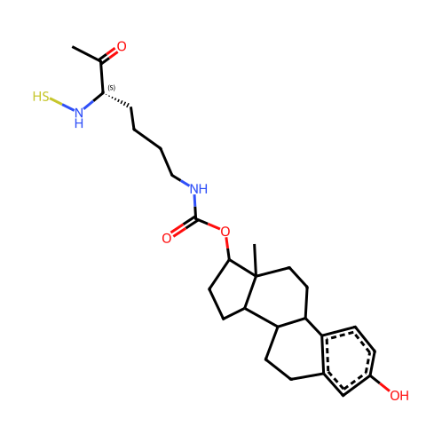 CC(=O)[C@H](CCCCNC(=O)OC1CCC2C3CCc4cc(O)ccc4C3CCC12C)NS